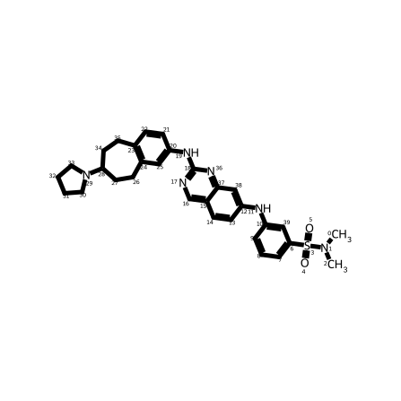 CN(C)S(=O)(=O)c1cccc(Nc2ccc3cnc(Nc4ccc5c(c4)CCC(N4CCCC4)CC5)nc3c2)c1